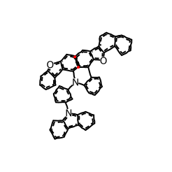 c1cc(N(c2ccccc2-c2cccc3c2oc2c4ccccc4ccc32)c2cccc3oc4ccccc4c23)cc(-n2c3ccccc3c3ccccc32)c1